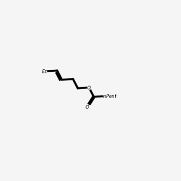 CCC=CCCOC(=O)CCCCC